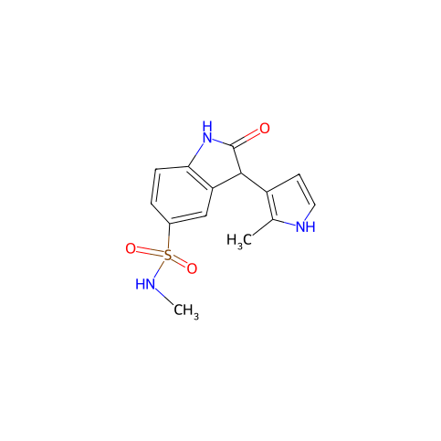 CNS(=O)(=O)c1ccc2c(c1)C(c1cc[nH]c1C)C(=O)N2